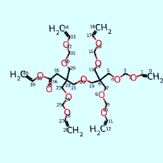 C=COCOCC(COCOC=C)(COCOC=C)COCC(COCOC=C)(COCOC=C)CC(=O)OC=C